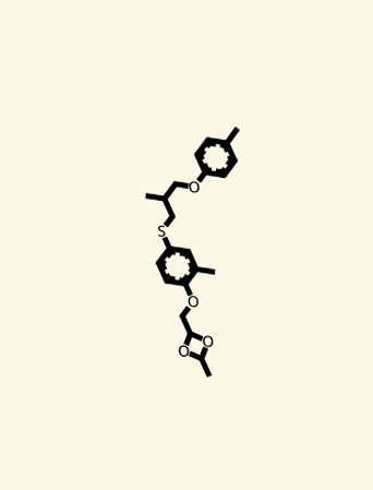 Cc1ccc(OCC(C)CSc2ccc(OCC3OC(C)O3)c(C)c2)cc1